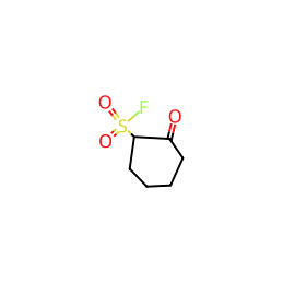 O=C1CCCCC1S(=O)(=O)F